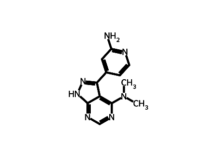 CN(C)c1ncnc2[nH]nc(-c3ccnc(N)c3)c12